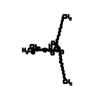 CCCCCCCCCCCCCCCC(=O)N1CCN(C(=O)CCCCCCCCCCCCCCC)CC(C(=O)NCCOCCOCCC(=O)C(C)C)C1